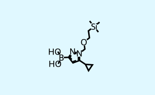 C[Si](C)(C)CCOCn1nc(B(O)O)cc1C1CC1